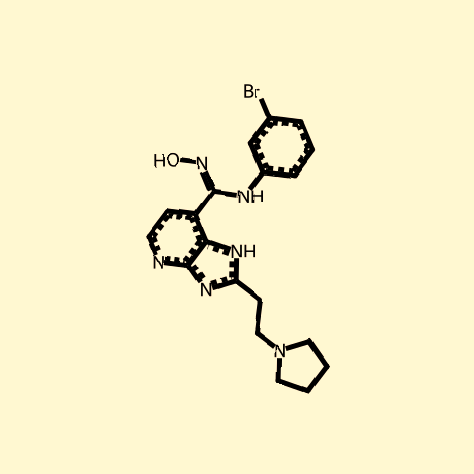 O/N=C(/Nc1cccc(Br)c1)c1ccnc2nc(CCN3CCCC3)[nH]c12